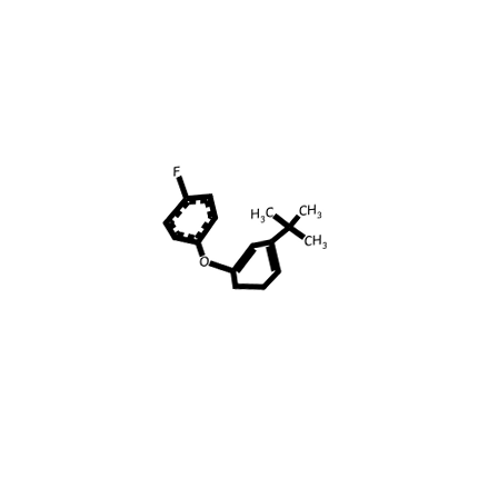 CC(C)(C)C1=CCCC(Oc2ccc(F)cc2)=C1